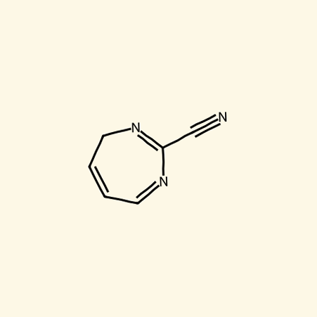 N#CC1=NCC=CC=N1